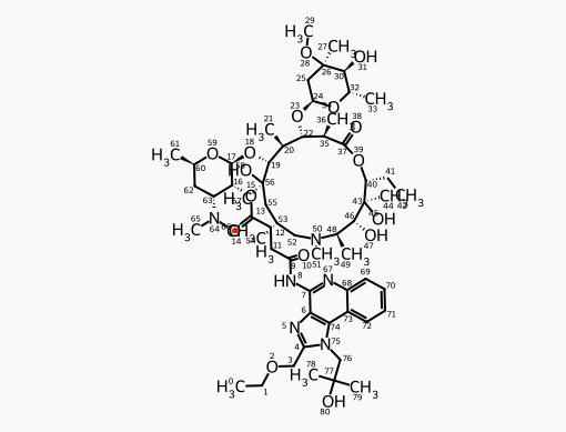 CCOCc1nc2c(NC(=O)CCC(=O)O[C@H]3[C@H](O[C@@H]4[C@@H](C)[C@H](O[C@H]5C[C@@](C)(OC)[C@@H](O)[C@H](C)O5)[C@@H](C)C(=O)O[C@H](CC)[C@@](C)(O)[C@H](O)[C@@H](C)N(C)C[C@H](C)C[C@@]4(C)O)O[C@H](C)C[C@H]3N(C)C)nc3ccccc3c2n1CC(C)(C)O